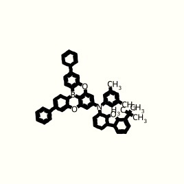 Cc1cc(C)cc(N(c2cc3c4c(c2)Oc2cc(C5C=CC=CC5)ccc2B4C2CC=C(c4ccccc4)C=C2O3)C2C=CCC3C4C=CC=C(C(C)(C)C)C4OC32)c1